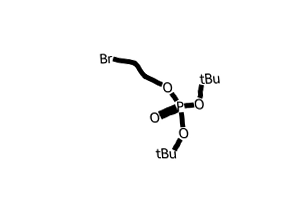 CC(C)(C)OP(=O)(OCCBr)OC(C)(C)C